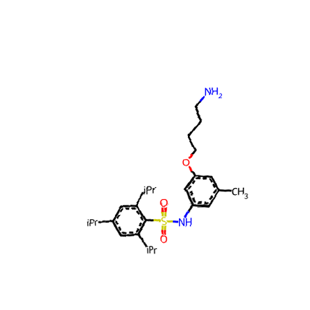 Cc1cc(NS(=O)(=O)c2c(C(C)C)cc(C(C)C)cc2C(C)C)cc(OCCCCN)c1